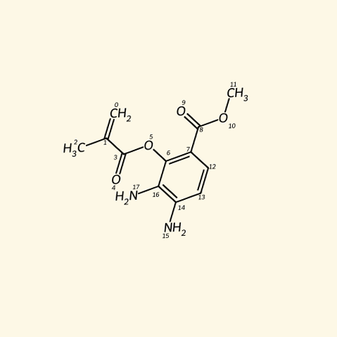 C=C(C)C(=O)Oc1c(C(=O)OC)ccc(N)c1N